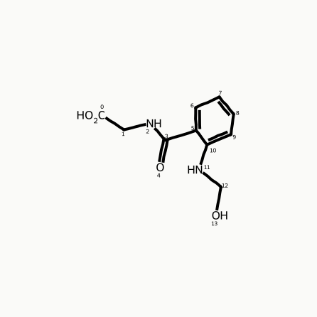 O=C(O)CNC(=O)c1ccccc1NCO